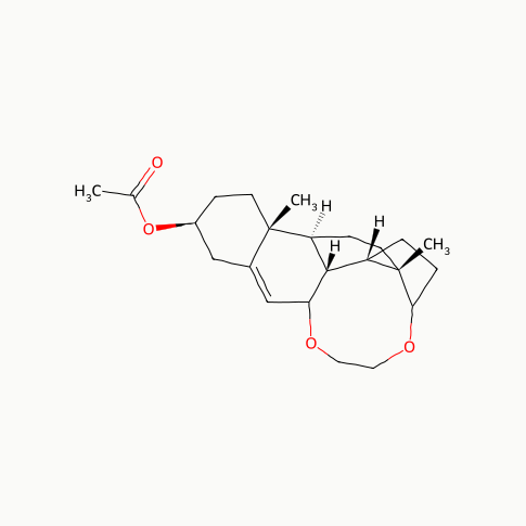 CC(=O)O[C@H]1CC[C@@]2(C)C(=CC3OCCOC4CC[C@H]5[C@H]3[C@@H]2CC[C@]45C)C1